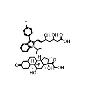 CC(C)n1c(/C=C/[C@@H](O)C[C@@H](O)CC(=O)O)c(-c2ccc(F)cc2)c2ccccc21.C[C@H]1C[C@H]2[C@@H]3CCC4=CC(=O)C=C[C@]4(C)[C@@]3(F)[C@@H](O)C[C@]2(C)[C@@]1(O)C(=O)CO